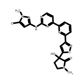 CN1CCC(O)(c2cc(-c3cccc(-c4ccnc(Nc5cc(Cl)n(C)n5)n4)n3)no2)C1=O